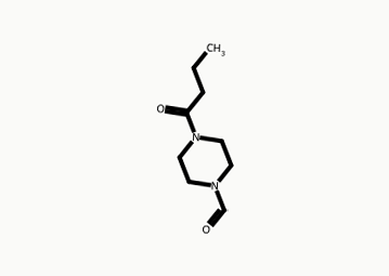 CCCC(=O)N1CCN([C]=O)CC1